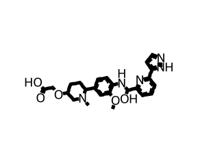 COc1cc(C2CCC(OCC(=O)O)CN2C)ccc1NC(O)c1cccc(-c2ccn[nH]2)n1